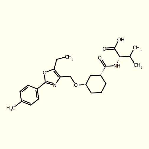 CCc1oc(-c2ccc(C)cc2)nc1CO[C@H]1CCC[C@@H](C(=O)N[C@H](C(=O)O)C(C)C)C1